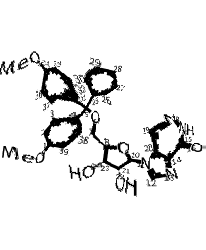 COc1ccc(C(OC[C@H]2OC(n3cnc4c(=O)[nH]ncc43)[C@H](O)[C@@H]2O)(c2ccccc2)c2ccc(OC)cc2)cc1